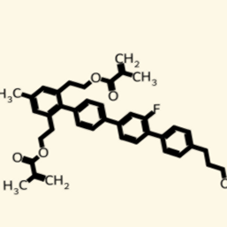 C=C(C)C(=O)OCCc1cc(C)cc(CCOC(=O)C(=C)C)c1-c1ccc(-c2ccc(-c3ccc(CCCO)cc3)c(F)c2)cc1